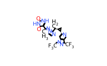 C=C(c1nccn1/N=C(\C)c1c[nH]c(=O)[nH]c1=O)[C@H]1C[C@@H]1c1cc2c(cn1)c(C(F)(F)F)nn2CC(F)(F)F